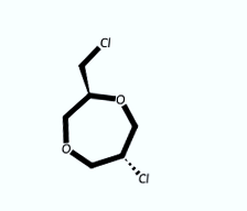 ClC[C@@H]1COC[C@@H](Cl)CO1